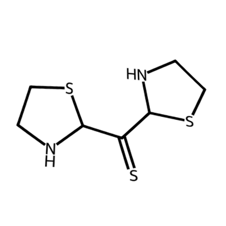 S=C(C1NCCS1)C1NCCS1